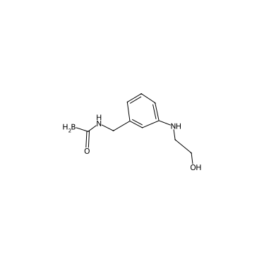 BC(=O)NCc1cccc(NCCO)c1